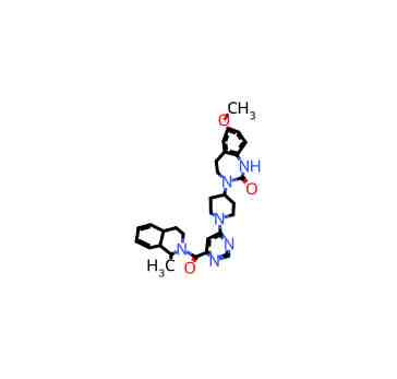 COc1ccc2c(c1)CCN(C1CCN(c3cc(C(=O)N4CCC5C=CC=CC5C4C)ncn3)CC1)C(=O)N2